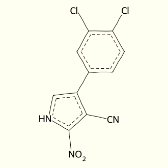 N#Cc1c(-c2ccc(Cl)c(Cl)c2)c[nH]c1[N+](=O)[O-]